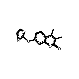 Cc1c(C)c2ccc(Oc3nccs3)cc2oc1=O